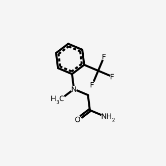 CN(CC(N)=O)c1ccccc1C(F)(F)F